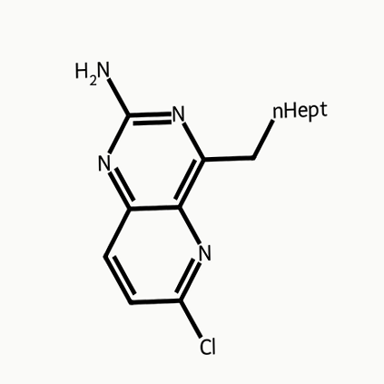 CCCCCCCCc1nc(N)nc2ccc(Cl)nc12